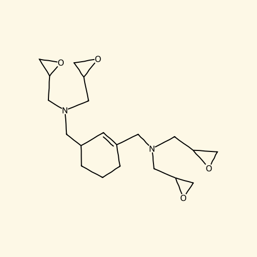 C1=C(CN(CC2CO2)CC2CO2)CCCC1CN(CC1CO1)CC1CO1